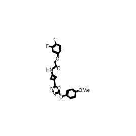 COc1ccc(Oc2nnc(C34CC(NC(=O)COc5ccc(Cl)c(F)c5)(C3)C4)o2)cc1